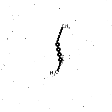 CCCCCCCCCCCCc1ccc(-c2ccc(-c3ccc(-c4ccc(OCCCCCCC)c(F)c4F)cc3)cc2)cc1